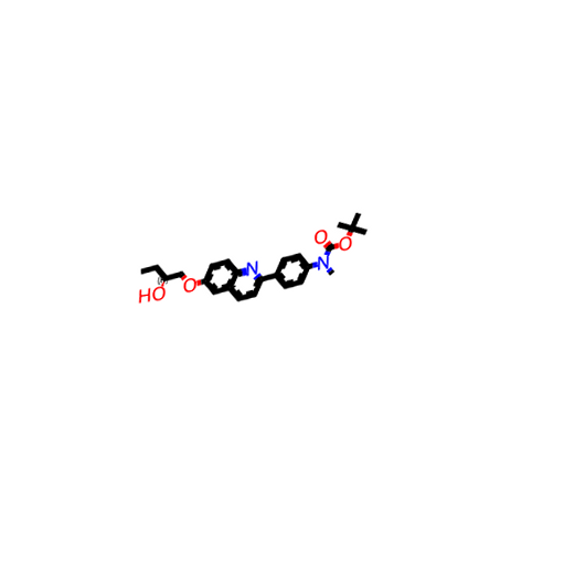 CC[C@@H](O)COc1ccc2nc(-c3ccc(N(C)C(=O)OC(C)(C)C)cc3)ccc2c1